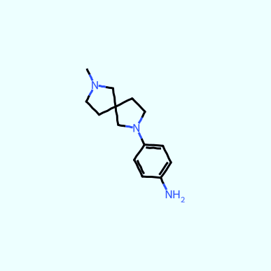 CN1CCC2(CCN(c3ccc(N)cc3)C2)C1